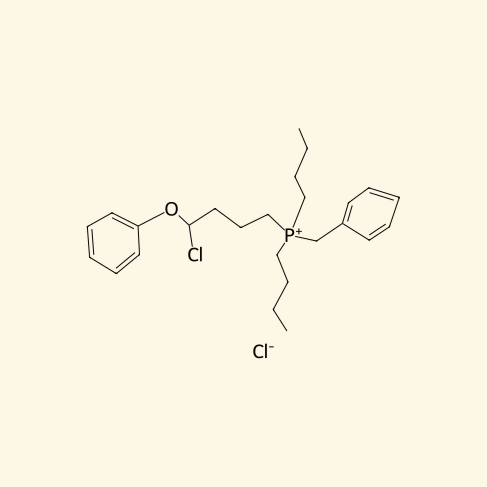 CCCC[P+](CCCC)(CCCC(Cl)Oc1ccccc1)Cc1ccccc1.[Cl-]